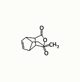 C=CCC1C2C=CC1C1C(=O)OC(=O)C21